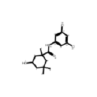 CC1(C)CC(O)CC(C)(C(=O)Nc2cc(Cl)cc(Cl)c2)C1